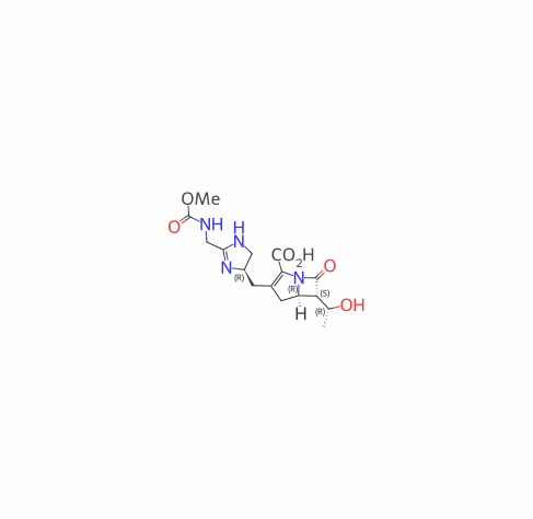 COC(=O)NCC1=N[C@H](CC2=C(C(=O)O)N3C(=O)[C@H]([C@@H](C)O)[C@H]3C2)CN1